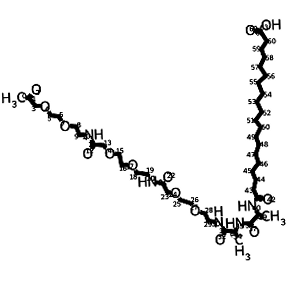 CC(=O)COCCOCCNC(=O)COCCOCCNC(=O)COCCOCCNC(=O)[C@H](C)NC(=O)[C@H](C)NC(=O)CCCCCCCCCCCCCCCCCCC(=O)O